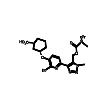 CCCN(C)C(=O)OCc1c(-c2ccc(O[C@H]3CCC[C@H](C(=O)O)C3)c(CC)n2)nnn1C